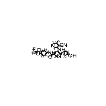 Cc1cncc(Nc2cc(C(=O)Nc3ccc(OC(F)(F)Cl)cc3)cnc2N2CC[C@@H](O)C2)c1C#N